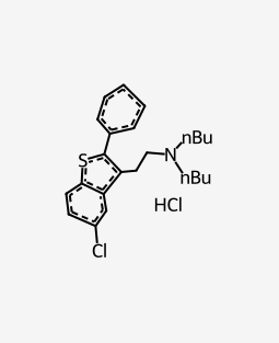 CCCCN(CCCC)CCc1c(-c2ccccc2)sc2ccc(Cl)cc12.Cl